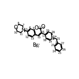 O=c1oc2cc(N3CCOCC3)ccc2cc1-c1cc[n+](Cc2ccccc2)cc1.[Br-]